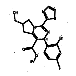 CC(C)OC(=O)C1=C2CC(CO)CN2C(c2nccs2)=N[C@H]1c1ccc(F)cc1Br